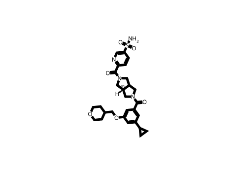 NS(=O)(=O)c1ccc(C(=O)N2CC3CN(C(=O)c4cc(OCC5CCOCC5)cc(C5CC5)c4)C[C@@H]3C2)nc1